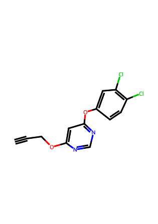 C#CCOc1cc(Oc2ccc(Cl)c(Cl)c2)ncn1